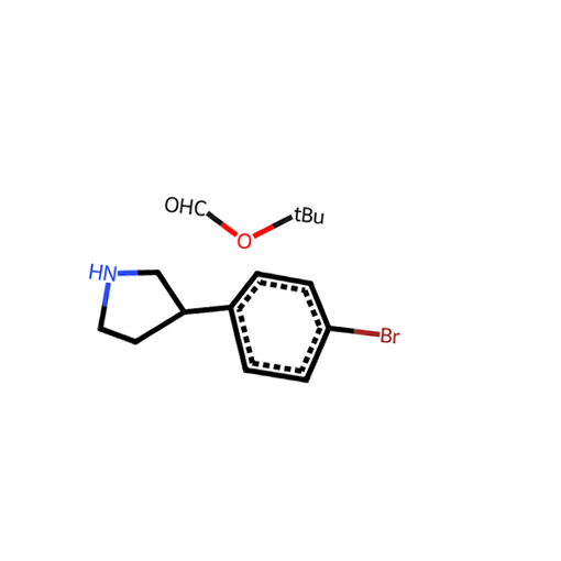 Brc1ccc(C2CCNC2)cc1.CC(C)(C)OC=O